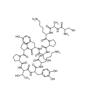 CC(NC(=O)C(N)CS)C(=O)NC(CCCCN)C(=O)N1CCCC1C(=O)NC(CO)C(=O)NC(Cc1ccc(O)cc1)C(=O)N1CCCC1C(=O)N1CCCC1C(=O)NC(C(=O)NC(Cc1ccc(O)c(O)c1)C(=O)NC(CCCCN)C(=O)O)C(C)O